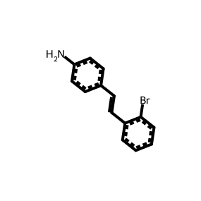 Nc1ccc(/C=C/c2ccccc2Br)cc1